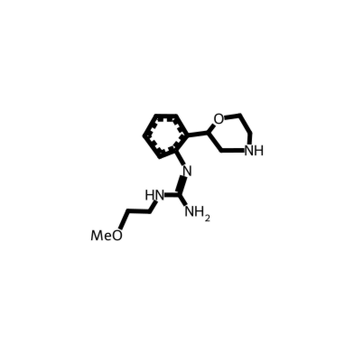 COCCNC(N)=Nc1ccccc1C1CNCCO1